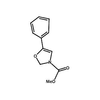 COC(=O)N1C=C(c2ccccc2)OC1